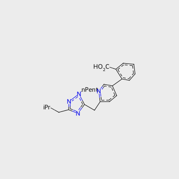 CCCCCn1nc(CC(C)C)nc1Cc1ccc(-c2ccccc2C(=O)O)cn1